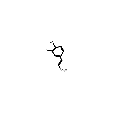 N#Cc1ccc(C=CC(=O)O)cc1F